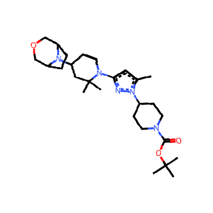 Cc1cc(N2CCC(N3C4CCC3COC4)CC2(C)C)nn1C1CCN(C(=O)OC(C)(C)C)CC1